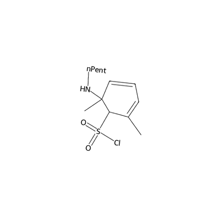 CCCCCNC1(C)C=CC=C(C)C1S(=O)(=O)Cl